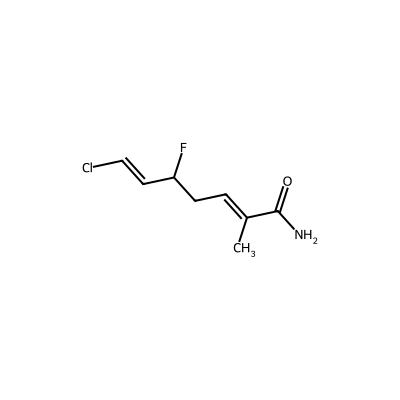 C/C(=C\CC(F)/C=C/Cl)C(N)=O